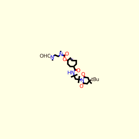 CN(C=O)CCN(C)C(=O)OC1/C=C/CCC(C(=O)NC(C)(C)CC(C)(C)N2C(=O)CC(C)(C(C)(C)C)CC2=O)CC1